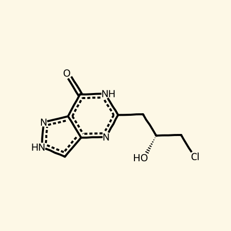 O=c1[nH]c(C[C@@H](O)CCl)nc2c[nH]nc12